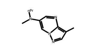 CCCN(C)c1cnc2c(C)cnn2c1